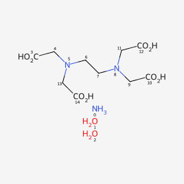 N.O.O.O=C(O)CN(CCN(CC(=O)O)CC(=O)O)CC(=O)O